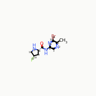 Cc1ncc(NC(=O)[C@@H]2C[C@@H](F)CN2)nc1Br